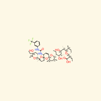 CCC(C(O)[C@@H](C)[C@@H](O)[C@H](C)[C@@H]1O[C@@H]([C@@H](CC)C(=O)O)CC[C@@H]1C)[C@H]1O[C@]2(C=CC(NC(=O)Nc3cccc(C(F)(F)F)c3)[C@]3(CC[C@@](C)([C@H]4CC[C@](O)(CC)[C@H](C)O4)O3)O2)[C@H](C)C[C@@H]1C